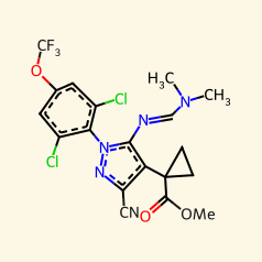 COC(=O)C1(c2c(C#N)nn(-c3c(Cl)cc(OC(F)(F)F)cc3Cl)c2N=CN(C)C)CC1